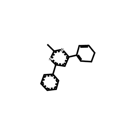 Cc1nc(C2=CCCC=C2)cc(-c2ccccc2)n1